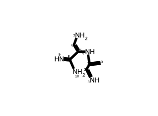 C=C(C=N)N/C(=C\N)C(=N)N